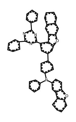 c1ccc(-c2nc(-c3ccccc3)nc(-c3cc(-c4ccc(N(c5ccccc5)c5ccc6oc7ccccc7c6c5)cc4)cc4oc5cc6ccccc6cc5c34)n2)cc1